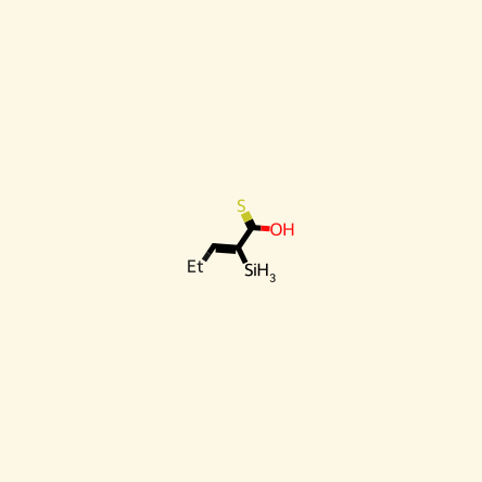 CCC=C([SiH3])C(O)=S